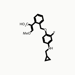 COC=C(C(=O)O)c1ccccc1COc1ccc(NCC2CC2)cc1F